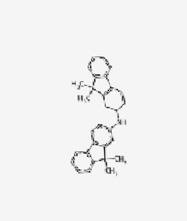 CC1(C)C2=C(C=CC(Nc3ccc4c(c3)C(C)(C)c3ccccc3-4)C2)c2ccccc21